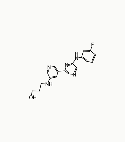 OCCCNc1cncc(-c2cncc(Nc3cccc(F)c3)n2)c1